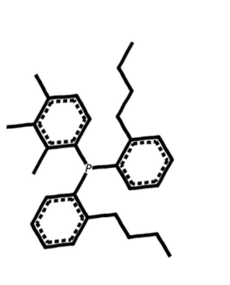 CCCCc1ccccc1P(c1ccccc1CCCC)c1ccc(C)c(C)c1C